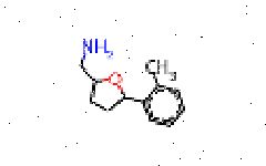 Cc1ccccc1C1CCC(CN)O1